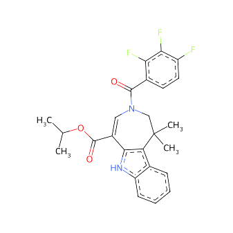 CC(C)OC(=O)C1=CN(C(=O)c2ccc(F)c(F)c2F)CC(C)(C)c2c1[nH]c1ccccc21